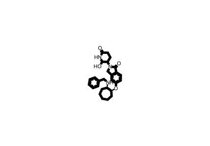 O=C1CCC(N2Cc3cc(O[C@H]4CCCCC[C@H]4NCc4ccccc4)ccc3C2=O)C(O)N1